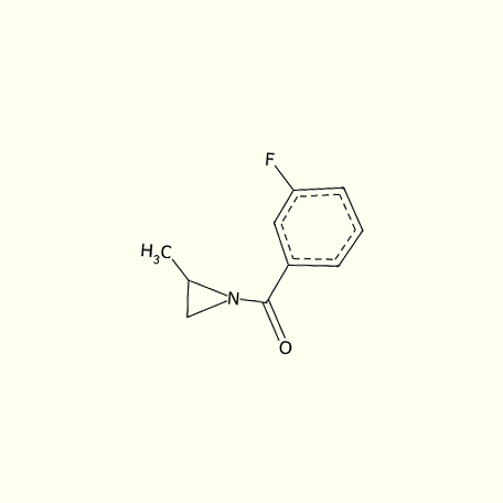 CC1CN1C(=O)c1cccc(F)c1